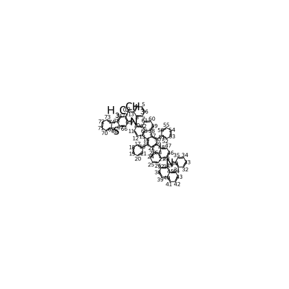 CC1(C)c2ccccc2N(c2ccc3c4c(-c5ccccc5)c5c6cccc7c(N(c8ccccc8)c8cccc9ccccc89)ccc(c5c(-c5ccccc5)c4c4cccc2c34)c76)c2cc3sc4ccccc4c3cc21